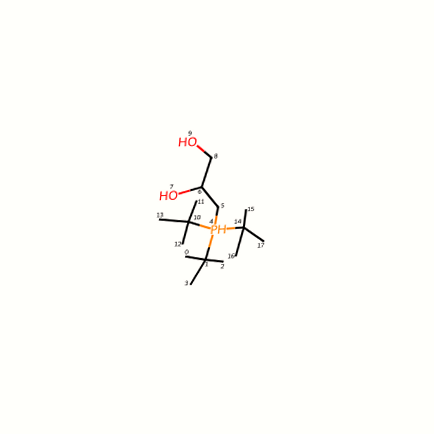 CC(C)(C)[PH](CC(O)CO)(C(C)(C)C)C(C)(C)C